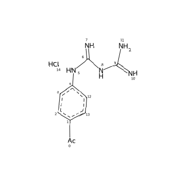 CC(=O)c1ccc(NC(=N)NC(=N)N)cc1.Cl